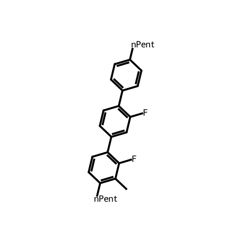 CCCCCc1ccc(-c2ccc(-c3ccc(CCCCC)c(C)c3F)cc2F)cc1